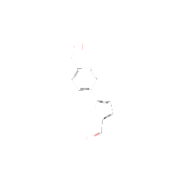 O=Cc1ccc(-c2ccc(CO)cc2)s1